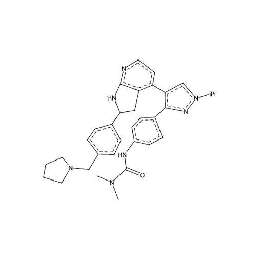 CC(C)n1cc(-c2ccnc3c2CC(c2ccc(CN4CCCC4)cc2)N3)c(-c2ccc(NC(=O)N(C)C)cc2)n1